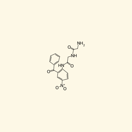 NCC(=O)NCC(=O)Nc1ccc([N+](=O)[O-])cc1C(=O)c1ccccc1